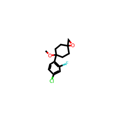 COC1(c2ccc(Cl)cc2F)CCC2(CC1)CO2